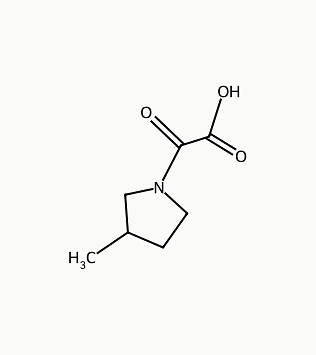 CC1CCN(C(=O)C(=O)O)C1